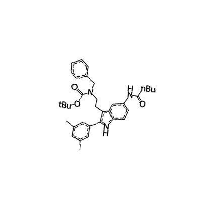 CCCCC(=O)Nc1ccc2[nH]c(-c3cc(C)cc(C)c3)c(CCN(Cc3ccccc3)C(=O)OC(C)(C)C)c2c1